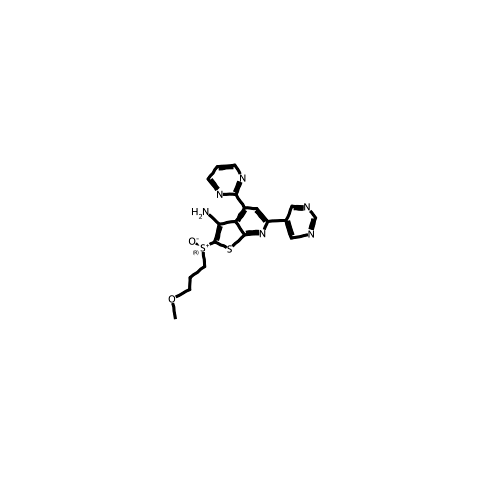 COCCC[S@+]([O-])c1sc2nc(-c3cncnc3)cc(-c3ncccn3)c2c1N